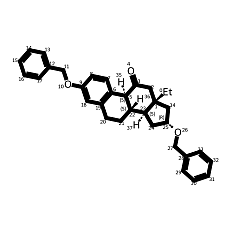 CC[C@]12CC(=O)[C@@H]3c4ccc(OCc5ccccc5)cc4CC[C@H]3[C@@H]1C[C@@H](OCc1ccccc1)C2